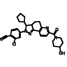 N#Cc1ccc(N2N=C3c4ccc(C(=O)N5CCC(O)CC5)nc4CCC3C2C2CCCC2)cc1Cl